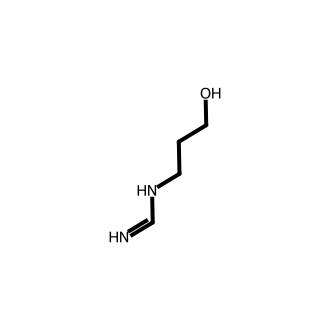 N=CNCCCO